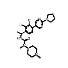 CC(NC(=O)N(C)N1CCN(C)CC1)c1ccc(-c2cnc(N3CCCC3)nc2)c(Cl)c1Cl